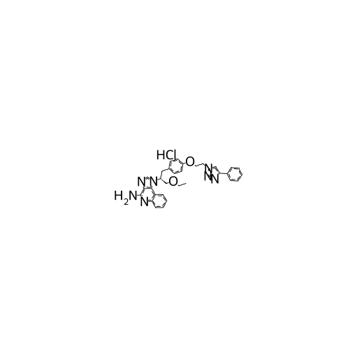 CCOC[C@H](Cc1ccc(OCCn2cc(-c3ccccc3)nn2)cc1)n1cnc2c(N)nc3ccccc3c21.Cl